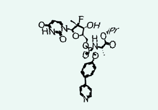 CC(C)OC(=O)[C@H](C)NP(=O)(OC[C@H]1O[C@@H](n2ccc(=O)[nH]c2=O)[C@](C)(F)[C@@H]1O)Oc1ccc(-c2ccncc2)cc1